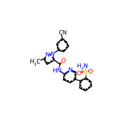 Cc1cc(C(=O)Nc2ccc(-c3ccccc3S(N)(=O)=O)cn2)n(-c2cccc(C#N)c2)n1